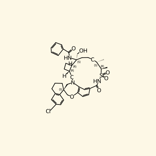 C[C@@H]1[C@@H](C)CCC[C@](CO)(NC(=O)c2ccccc2)[C@@H]2CC[C@H]2CN2C[C@@]3(CCCc4cc(Cl)ccc43)COc3ccc(cc32)C(=O)NS1(=O)=O